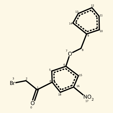 O=C(CBr)c1cc(OCc2ccccc2)cc([N+](=O)[O-])c1